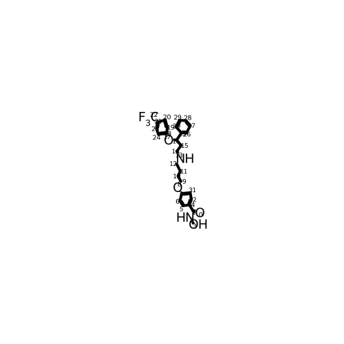 O=C(NO)c1ccc(OCCCCNCCC(Oc2ccc(C(F)(F)F)cc2)c2ccccc2)cc1